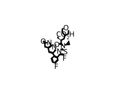 CN1C(=O)Cc2cc(-c3ccc(F)cc3-c3nc(N(C(=O)[C@@H](CC(=O)O)CC4CCOCC4)C4CC4)sc3F)cnc21